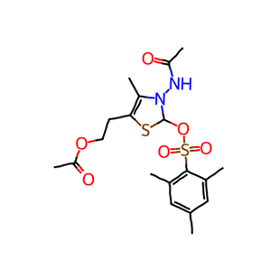 CC(=O)NN1C(C)=C(CCOC(C)=O)SC1OS(=O)(=O)c1c(C)cc(C)cc1C